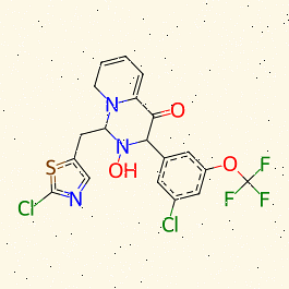 O=C1C2=CC=CCN2C(Cc2cnc(Cl)s2)N(O)C1c1cc(Cl)cc(OC(F)(F)F)c1